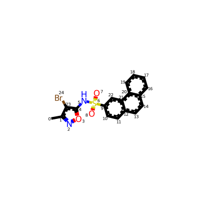 Cc1noc(NS(=O)(=O)c2ccc3ccc4ccccc4c3c2)c1Br